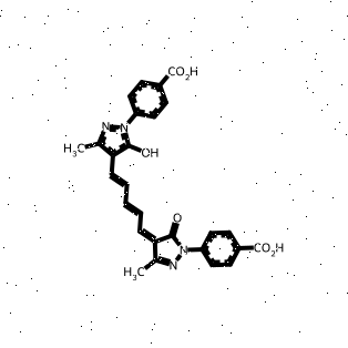 CC1=NN(c2ccc(C(=O)O)cc2)C(=O)C1=CC=CC=Cc1c(C)nn(-c2ccc(C(=O)O)cc2)c1O